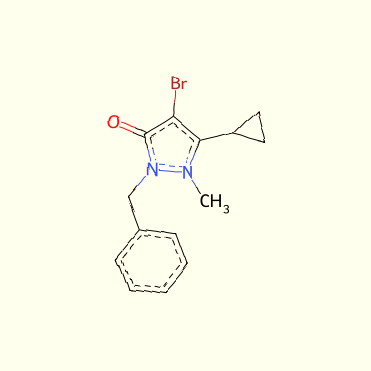 Cn1c(C2CC2)c(Br)c(=O)n1Cc1ccccc1